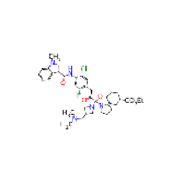 CCOC(=O)[C@H]1CC[C@H](OC(C(=O)Cc2cc(Cl)c(NC(=O)c3cn(C)c4ccccc34)cc2F)(N2CCCC2)N2CC(CN(C)C)C2)CC1